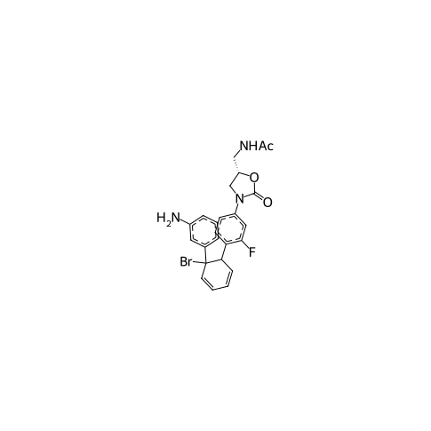 CC(=O)NC[C@H]1CN(c2ccc(C3C=CC=CC3(Br)c3cccc(N)c3)c(F)c2)C(=O)O1